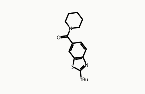 CC(C)(C)c1nc2ccc(C(=O)N3CCCCC3)cc2s1